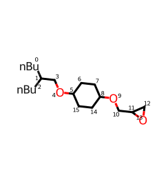 CCCCC(CCCC)COC1CCC(OCC2CO2)CC1